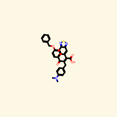 CN(C)c1ccc(C/C(C(=O)c2ccc(OCc3ccccc3)cc2)=C(\C(=O)O)c2ccc3nsnc3c2)cc1